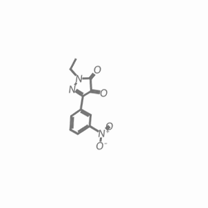 CCN1N=C(c2cccc([N+](=O)[O-])c2)C(=O)C1=O